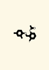 CC(=O)Sc1cccc(I)c1COc1ccc(C)cc1C